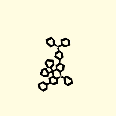 c1ccc(-c2ccc3c(c2)C(c2ccccc2)(c2ccccc2)c2cc(-c4ccc(N(c5ccccc5)c5ccccc5)cc4)ccc2N3c2ccccc2)cc1